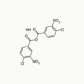 O=C(OC(=O)c1ccc(Cl)c([N+](=O)[O-])c1)c1ccc(Cl)c([N+](=O)[O-])c1.[HH]